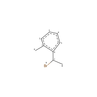 Cc1ccccc1C(C)Br